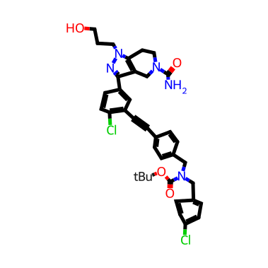 CC(C)(C)OC(=O)N(Cc1ccc(Cl)cc1)Cc1ccc(C#Cc2cc(-c3nn(CCCO)c4c3CN(C(N)=O)CC4)ccc2Cl)cc1